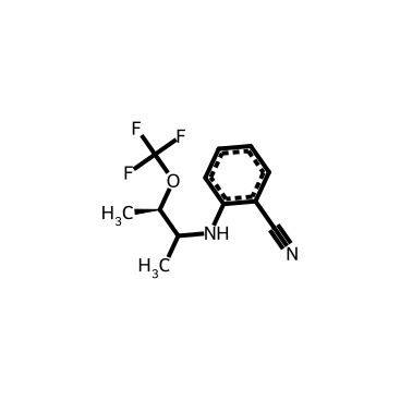 CC(Nc1ccccc1C#N)[C@@H](C)OC(F)(F)F